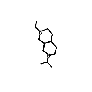 CCN1CCC2CCN(C(C)C)CC2C1